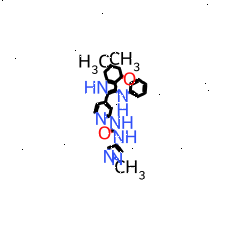 Cn1cc(NC(=O)Nc2cc(-c3[nH]c4c(c3Nc3ccccc3)C(=O)CC(C)(C)C4)ccn2)cn1